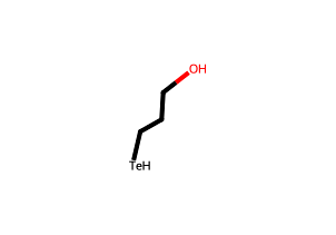 OCCC[TeH]